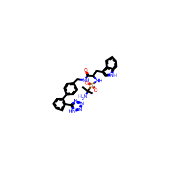 CC(C)(N)S(=O)(=O)NC(Cc1c[nH]c2ccccc12)C(=O)NCc1ccc(-c2ccccc2-c2nnn[nH]2)cc1